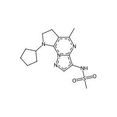 Cc1nc2c(NS(C)(=O)=O)cnn2c2c1CCN2C1CCCC1